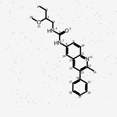 CCC(CNC(=O)Nc1ccc2nc(C)c(-c3ccccc3)cc2c1)OC